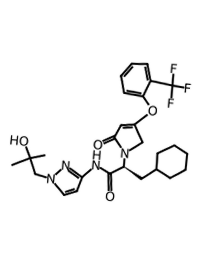 CC(C)(O)Cn1ccc(NC(=O)[C@H](CC2CCCCC2)N2CC(Oc3ccccc3C(F)(F)F)=CC2=O)n1